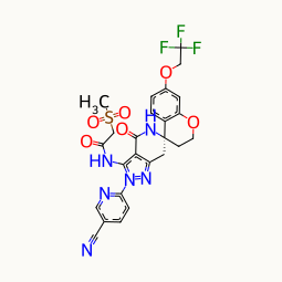 CS(=O)(=O)CC(=O)Nc1c2c(nn1-c1ccc(C#N)cn1)C[C@]1(CCOc3cc(OCC(F)(F)F)ccc31)NC2=O